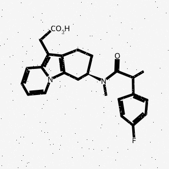 CC(C(=O)N(C)[C@@H]1CCc2c(CC(=O)O)c3ccccn3c2C1)c1ccc(F)cc1